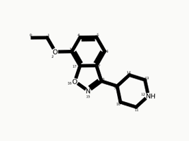 CCOc1cccc2c(C3CCNCC3)noc12